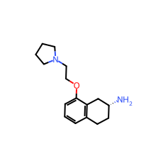 N[C@@H]1CCc2cccc(OCCN3CCCC3)c2C1